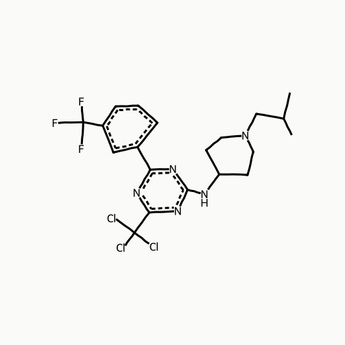 CC(C)CN1CCC(Nc2nc(-c3cccc(C(F)(F)F)c3)nc(C(Cl)(Cl)Cl)n2)CC1